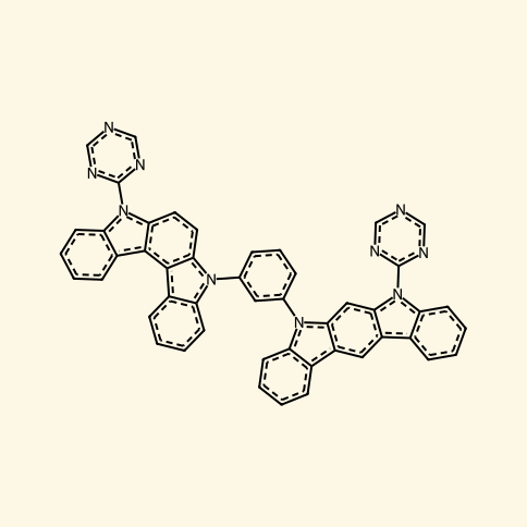 c1cc(-n2c3ccccc3c3cc4c5ccccc5n(-c5ncncn5)c4cc32)cc(-n2c3ccccc3c3c4c5ccccc5n(-c5ncncn5)c4ccc32)c1